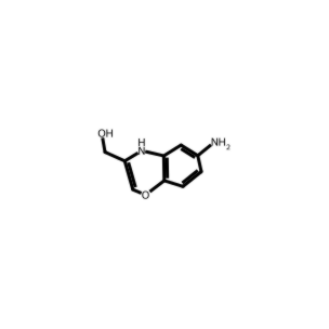 Nc1ccc2c(c1)NC(CO)=CO2